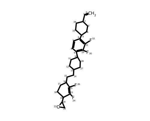 C=CC1CCC(c2ccc(C3CCC(CCC4CCC(C5CO5)C(F)=C4F)CC3)c(F)c2F)CC1